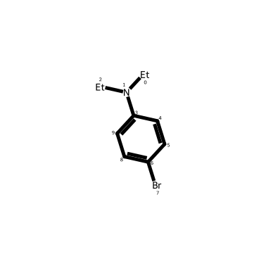 [CH2]CN(CC)c1ccc(Br)cc1